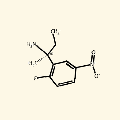 [CH2]C[C@](C)(N)c1cc([N+](=O)[O-])ccc1F